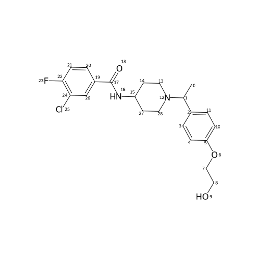 CC(c1ccc(OCCO)cc1)N1CCC(NC(=O)c2ccc(F)c(Cl)c2)CC1